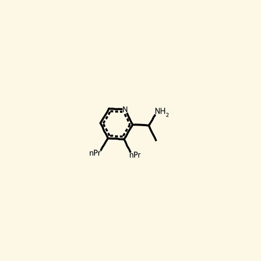 CCCc1ccnc(C(C)N)c1CCC